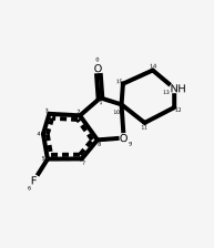 O=C1c2ccc(F)cc2OC12CCNCC2